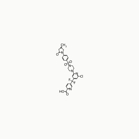 C[C@@H]1CC(=O)N(c2ccc(S(=O)(=O)N3CCN(c4cc(C(F)(F)c5ccc(C(=O)O)nc5)cc(Cl)n4)CC3)cc2)C1